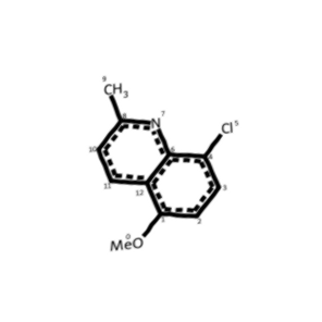 COc1ccc(Cl)c2nc(C)ccc12